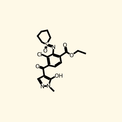 CCOC(=O)c1ccc(C(=O)c2cnn(C)c2O)c(Cl)c1N=S1(=O)CCCCC1